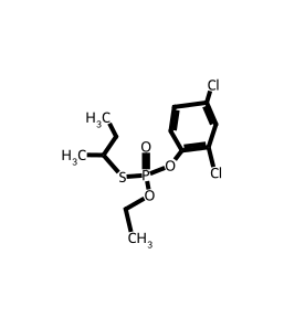 CCOP(=O)(Oc1ccc(Cl)cc1Cl)SC(C)CC